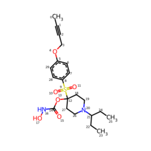 CC#CCOc1ccc(S(=O)(=O)C2(OC(=O)NO)CCN(C(CC)CC)CC2)cc1